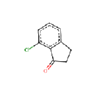 O=C1CCc2cccc(Cl)c21